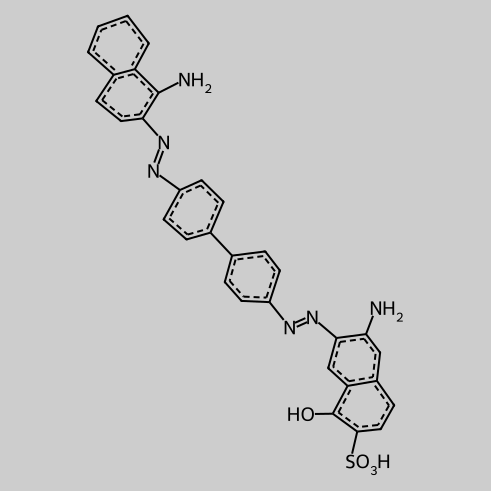 Nc1cc2ccc(S(=O)(=O)O)c(O)c2cc1N=Nc1ccc(-c2ccc(N=Nc3ccc4ccccc4c3N)cc2)cc1